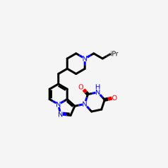 CC(C)CCN1CCC(Cc2ccn3ncc(N4CCC(=O)NC4=O)c3c2)CC1